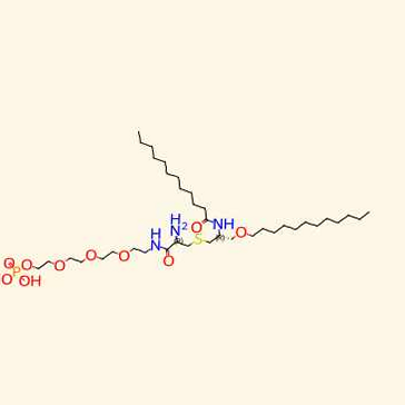 CCCCCCCCCCCCOC[C@H](CSC[C@H](N)C(=O)NCCOCCOCCOCCOP(=O)(O)O)NC(=O)CCCCCCCCCCC